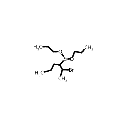 CCCO[SiH](OCCC)C(CCC)C(C)Br